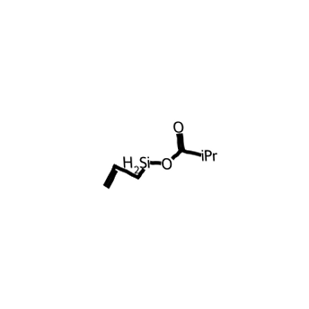 C=CC[SiH2]OC(=O)C(C)C